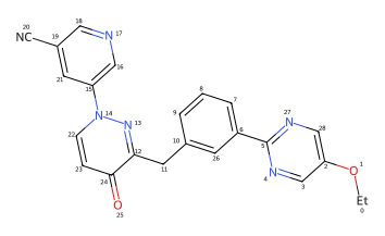 CCOc1cnc(-c2cccc(Cc3nn(-c4cncc(C#N)c4)ccc3=O)c2)nc1